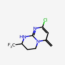 C=C1C=C(Cl)N=C2NC(C(F)(F)F)CCN12